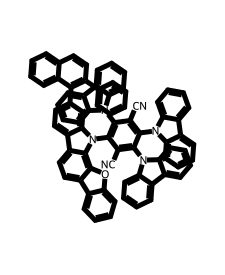 N#Cc1c(-n2c3ccccc3c3ccccc32)c(-n2c3ccccc3c3ccccc32)c(C#N)c(-n2c3cc(-c4c(-c5ccccc5)ccc5ccccc45)ccc3c3ccc4c5ccccc5oc4c32)c1-n1c2ccccc2c2ccccc21